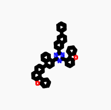 c1ccc(-c2ccc3cc(-c4nc(-c5ccc(-c6ccc7ccc8oc9ccccc9c8c7c6)c6ccccc56)nc(-c5cccc6oc7ccccc7c56)n4)ccc3c2)cc1